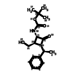 C[C@@H](c1ccccc1)N1C(=O)[C@@H](NC(=O)OC(C)(C)C)[C@@H]1CO